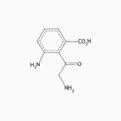 NCC(=O)c1c(N)cccc1C(=O)O